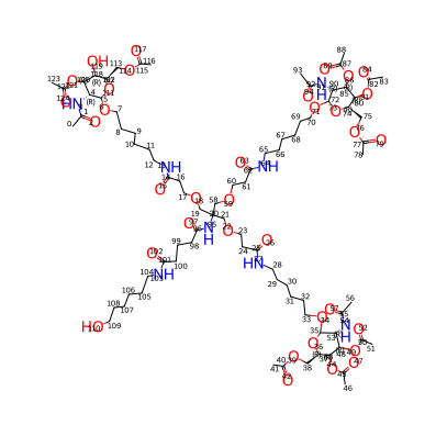 CC(=O)N[C@H]1C(OCCCCCCNC(=O)CCOCC(COCCC(=O)NCCCCCCOC2O[C@H](COC(C)=O)[C@H](OC(C)=O)[C@H](OC(C)=O)[C@H]2NC(C)=O)(COCCC(=O)NCCCCCCOC2O[C@H](COC(C)=O)[C@H](OC(C)=O)[C@H](OC(C)=O)[C@H]2NC(C)=O)NC(=O)CCCC(=O)NCCCCCCO)O[C@H](COC(C)=O)[C@H](O)[C@@H]1OC(C)=O